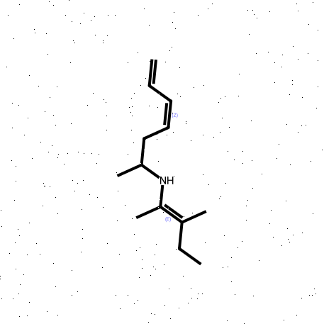 C=C/C=C\CC(C)N/C(C)=C(\C)CC